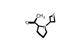 CC(=O)C1CCCN1C1CSC1